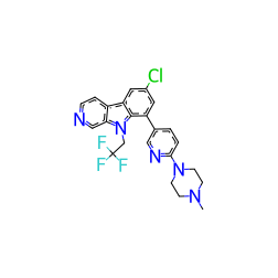 CN1CCN(c2ccc(-c3cc(Cl)cc4c5ccncc5n(CC(F)(F)F)c34)cn2)CC1